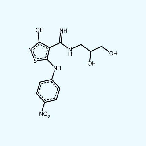 N=C(NCC(O)CO)c1c(O)nsc1Nc1ccc([N+](=O)[O-])cc1